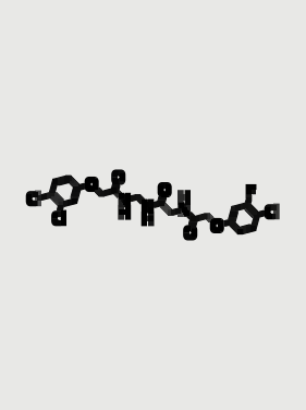 O=C(CNC(=O)COc1ccc(Cl)c(F)c1)NCNC(=O)COc1ccc(Cl)c(Cl)c1